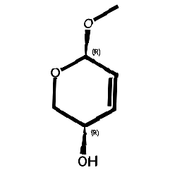 CO[C@H]1C=C[C@@H](O)CO1